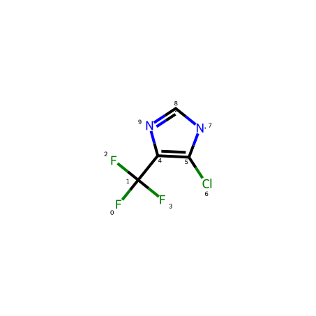 FC(F)(F)C1=C(Cl)[N][C]=N1